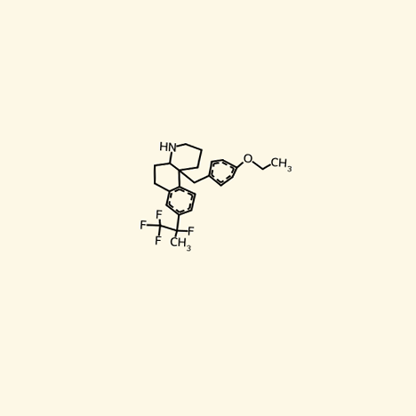 CCOc1ccc(CC23CCCNC2CCc2cc(C(C)(F)C(F)(F)F)ccc23)cc1